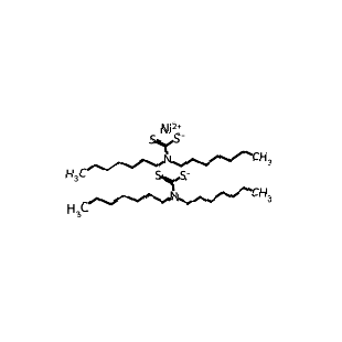 CCCCCCCN(CCCCCCC)C(=S)[S-].CCCCCCCN(CCCCCCC)C(=S)[S-].[Ni+2]